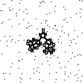 O=[N+]([O-])C(c1nc(-c2n[nH]nc2-c2noc(C([N+](=O)[O-])([N+](=O)[O-])[N+](=O)[O-])n2)no1)([N+](=O)[O-])[N+](=O)[O-]